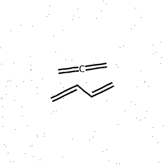 C=C=C.C=CC=C